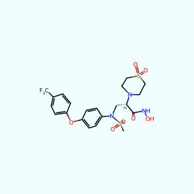 CS(=O)(=O)N(C[C@@H](C(=O)NO)N1CCS(=O)(=O)CC1)c1ccc(Oc2ccc(C(F)(F)F)cc2)cc1